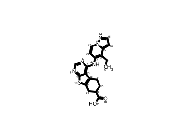 CCc1c(Nc2ncnc3sc4c(c23)CCC(C(=O)O)C4)ccn2nccc12